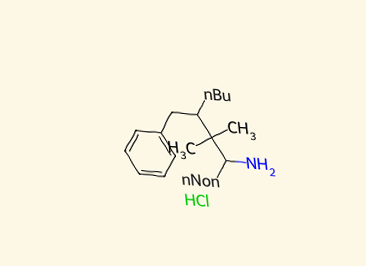 CCCCCCCCCC(N)C(C)(C)C(CCCC)Cc1ccccc1.Cl